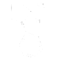 O=C(O)C1(O)CCCN1c1ccccc1